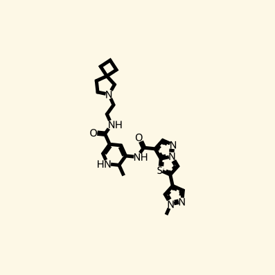 CC1NC=C(C(=O)NCCN2CCC3(CCC3)C2)C=C1NC(=O)c1cnn2cc(-c3cnn(C)c3)sc12